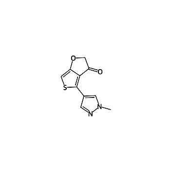 Cn1cc(-c2scc3c2C(=O)CO3)cn1